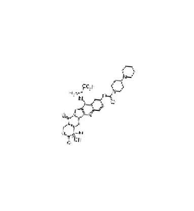 CCc1c2c(nc3ccc(OC(=O)N4CCC(N5CCCCC5)CC4)cc13)-c1cc3c(c(=O)n1C2)COC(=O)[C@]3(O)CC.NCC(=O)O